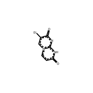 CCc1cn2ccc(=O)[nH]c2nc1=O